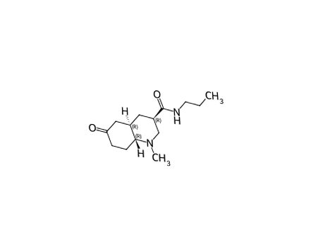 CCCNC(=O)[C@@H]1C[C@@H]2CC(=O)CC[C@H]2N(C)C1